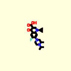 CC(C)N1CCN(c2cc3c(cc2F)c(=O)c(C(=O)O)cn3C2CC2)CC1C